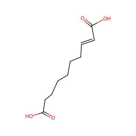 O=C(O)/C=C/CCCCCCC(=O)O